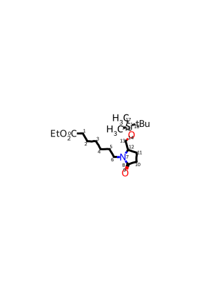 CCOC(=O)CCCCCCN1C(=O)CCC1CO[Si](C)(C)C(C)(C)C